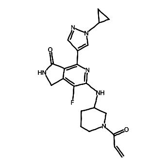 C=CC(=O)N1CCCC(Nc2nc(-c3cnn(C4CC4)c3)c3c(c2F)CNC3=O)C1